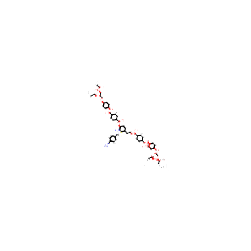 C=CC(=O)OCC(COc1ccc(OC(=O)C2CCC(C(=O)Oc3ccc(CCOC(=O)C4CCC(C(O)Oc5ccc(OC(COC(=O)C=C)OC(=O)C=C)cc5)CC4)c4sc(-c5ccc(C#N)cc5)nc34)CC2)cc1)OC(=O)C=C